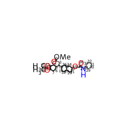 COC(=O)CC(c1ccc2c(c1)OC(C)(C)O2)c1ccc2ccc(OCC(=O)NC3CCCCC3)cc2c1